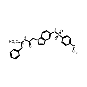 O=C(Cn1ccc2cc(NS(=O)(=O)c3ccc(OC(F)(F)F)cc3)ccc21)N[C@@H](Cc1ccccc1)C(=O)O